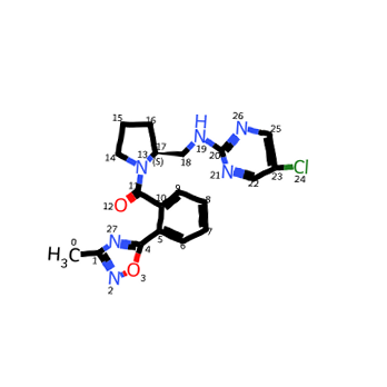 Cc1noc(-c2ccccc2C(=O)N2CCC[C@H]2CNc2ncc(Cl)cn2)n1